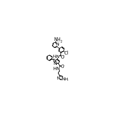 Nc1cccc(-c2ccc(Cl)c(C(=O)Nc3cc(C(=O)NCCc4c[nH]cn4)nn3-c3ccccc3)c2)n1